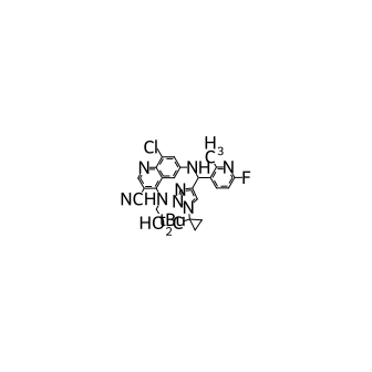 Cc1nc(F)ccc1C(Nc1cc(Cl)c2ncc(C#N)c(NCC(C)(C)C)c2c1)c1cn(C2(C(=O)O)CC2)nn1